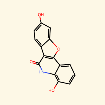 O=c1[nH]c2c(O)cccc2c2oc3cc(O)ccc3c12